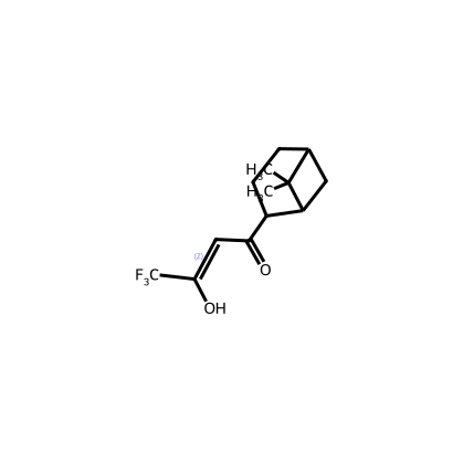 CC1(C)C2CCC(C(=O)/C=C(\O)C(F)(F)F)C1C2